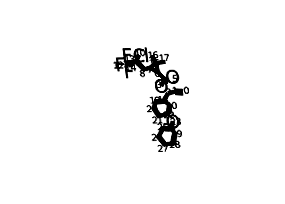 C#CC(OC(=O)C1C(C=C(Cl)C(F)(F)F)C1(C)C)c1cccc(Oc2ccccc2)c1